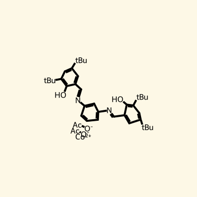 CC(=O)[O-].CC(=O)[O-].CC(C)(C)c1cc(C=Nc2cccc(N=Cc3cc(C(C)(C)C)cc(C(C)(C)C)c3O)c2)c(O)c(C(C)(C)C)c1.[Co+2]